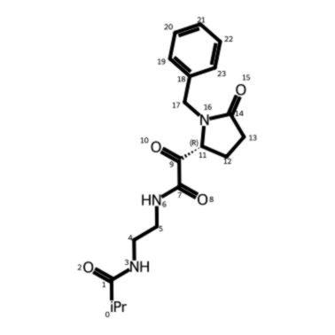 CC(C)C(=O)NCCNC(=O)C(=O)[C@H]1CCC(=O)N1Cc1ccccc1